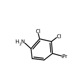 CC(C)c1ccc(N)c(Cl)c1Cl